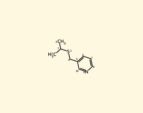 CC(C)SCc1cccnc1